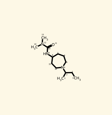 CCC(C)N1CCCC(NC(=O)N(C)C)CC1